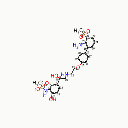 CS(=O)(=O)Nc1cc([C@@H](O)CNCCOc2ccc(-c3cccc(S(C)(=O)=O)c3N)cc2)ccc1O